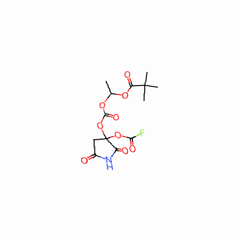 CC(OC(=O)OC1(OC(=O)F)CC(=O)NC1=O)OC(=O)C(C)(C)C